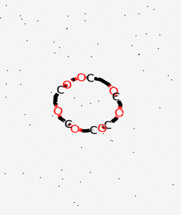 C1COCCOCCOCCOCCOCCCOCOC1